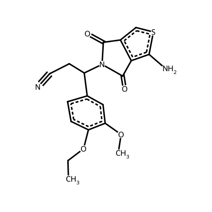 CCOc1ccc(C(CC#N)N2C(=O)c3csc(N)c3C2=O)cc1OC